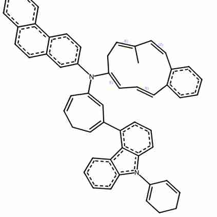 CC1=C\C/C(N(C2=CC(c3cccc4c3c3ccccc3n4C3=CCCC=C3)=CCC=C2)c2ccc3c(ccc4ccccc43)c2)=C\C=C\c2ccccc2/C=C\1